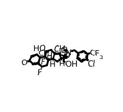 C[C@]12C=CC(=O)C=C1[C@@H](F)C[C@H]1[C@@H]3C[C@H]4CN(Cc5ccc(Cl)c(C(F)(F)F)c5)O[C@@]4(C(=O)CO)[C@@]3(C)C[C@H](O)[C@@]12F